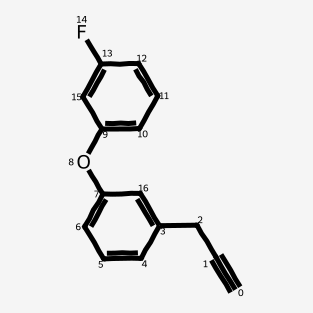 C#CCc1cccc(Oc2cccc(F)c2)c1